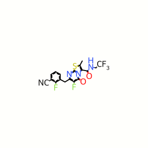 Cc1sc2nc(Cc3cccc(C#N)c3F)c(F)c(=O)n2c1C(=O)NCC(F)(F)F